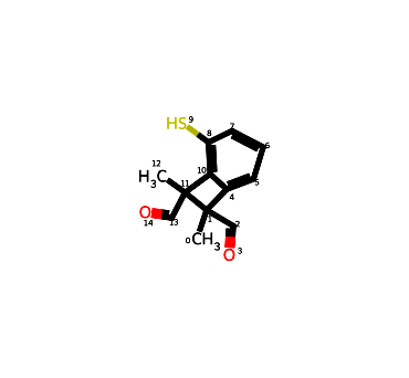 CC1(C=O)c2cccc(S)c2C1(C)C=O